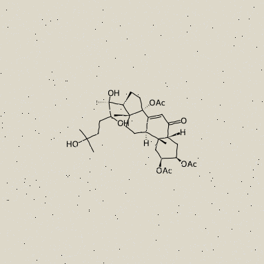 CC(=O)O[C@H]1C[C@@]2(C)[C@@H](C[C@H]1OC(C)=O)C(=O)C=C1[C@@H]2CC[C@]2(C)[C@@H]([C@](C)(O)C(O)CCC(C)(C)O)CC[C@@]12OC(C)=O